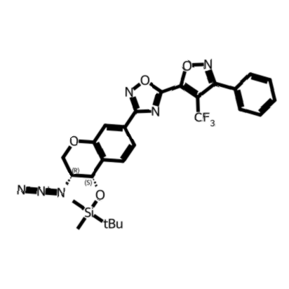 CC(C)(C)[Si](C)(C)O[C@H]1c2ccc(-c3noc(-c4onc(-c5ccccc5)c4C(F)(F)F)n3)cc2OC[C@H]1N=[N+]=[N-]